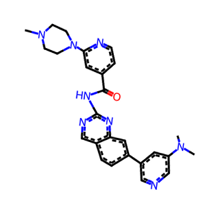 CN1CCN(c2cc(C(=O)Nc3ncc4ccc(-c5cncc(N(C)C)c5)cc4n3)ccn2)CC1